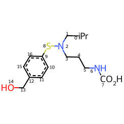 CC(C)CN(CCCNC(=O)O)Sc1ccc(CO)cc1